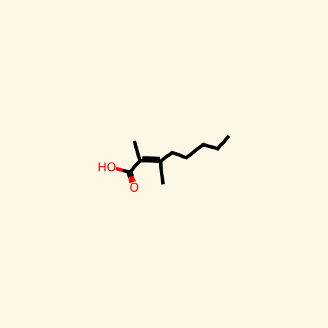 CCCCC/C(C)=C(\C)C(=O)O